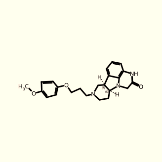 COc1ccc(OCCCN2CC[C@H]3[C@@H](C2)c2cccc4c2N3CC(=O)N4)cc1